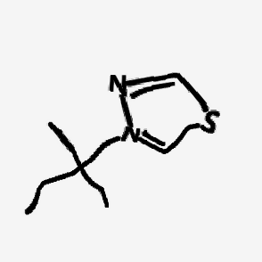 CC(C)(C)[n+]1cscn1